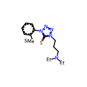 CCN(CC)CCCn1nnn(-c2ccccc2SC)c1=S